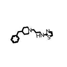 c1ccc(CC2CCN(CCCNc3nccs3)CC2)cc1